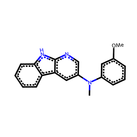 COc1cccc(N(C)c2cnc3[nH]c4ccccc4c3c2)c1